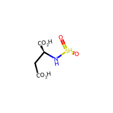 O=C(O)C[C@H](N[SH](=O)=O)C(=O)O